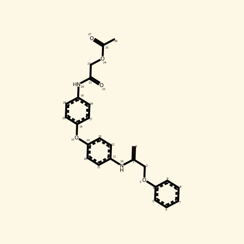 C=C(COc1ccccc1)Nc1ccc(Oc2ccc(NC(=O)COC(C)=O)cc2)cc1